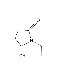 O=C1CCC(O)N1CI